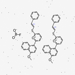 COc1ccc(-c2cccc(S/C=C/c3ccccc3)[o+]2)c2ccccc12.COc1ccc(-c2cccc(S/C=C/c3ccccc3)[o+]2)c2ccccc12.[O-]B([O-])F